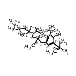 CC(C)(C)CC(C)(C)N(CC(C)(C)Cc1cc(C(C)(C)C)c(O)c(C(C)(C)C)c1)C(N)=O